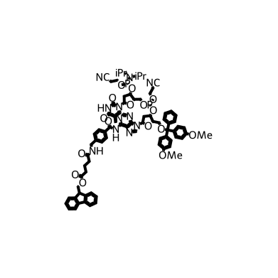 COc1ccc(C(OCC2OC(n3cnc4c(NC(=O)c5ccc(CNC(=O)CCCC(=O)OCC6c7ccccc7-c7ccccc76)cc5)ncnc43)CC2OP(OCCC#N)OCC2OC(n3cc(C)c(=O)[nH]c3=O)CC2OP(OCCC#N)N(C(C)C)C(C)C)(c2ccccc2)c2ccc(OC)cc2)cc1